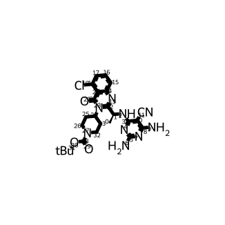 C[C@H](Nc1nc(N)nc(N)c1C#N)c1nc2cccc(Cl)c2c(=O)n1C1CCN(C(=O)OC(C)(C)C)CC1